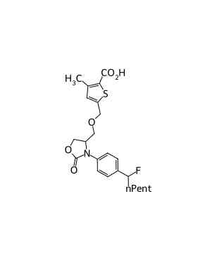 CCCCCC(F)c1ccc(N2C(=O)OCC2COCc2cc(C)c(C(=O)O)s2)cc1